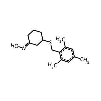 Cc1cc(C)c(CSC2CCC/C(=N\O)C2)c(C)c1